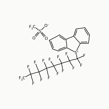 FC(F)(F)C(F)(F)C(F)(F)C(F)(F)C(F)(F)C(F)(F)C(F)(F)C(F)(F)[s+]1c2ccccc2c2ccccc21.O=S(=O)([O-])C(F)(F)F